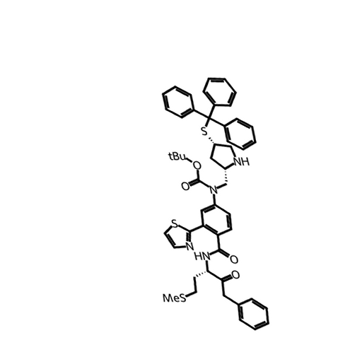 CSCC[C@H](NC(=O)c1ccc(N(C[C@@H]2C[C@H](SC(c3ccccc3)(c3ccccc3)c3ccccc3)CN2)C(=O)OC(C)(C)C)cc1-c1nccs1)C(=O)Cc1ccccc1